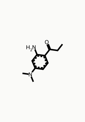 CCC(=O)c1ccc(N(C)C)cc1N